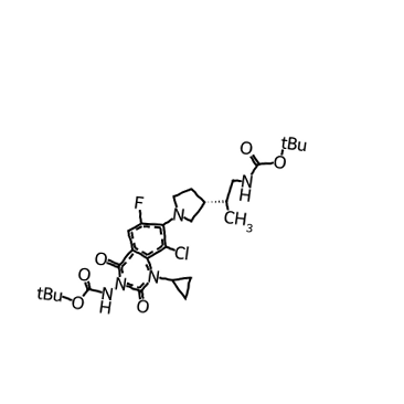 CC(CNC(=O)OC(C)(C)C)[C@H]1CCN(c2c(F)cc3c(=O)n(NC(=O)OC(C)(C)C)c(=O)n(C4CC4)c3c2Cl)C1